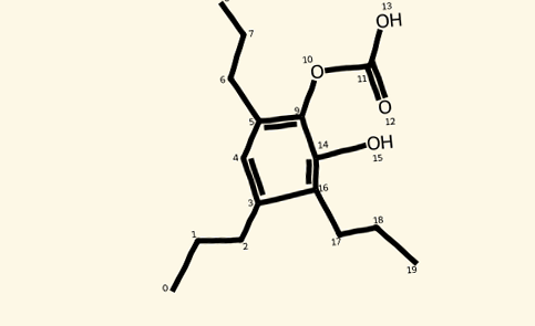 CCCc1cc(CCC)c(OC(=O)O)c(O)c1CCC